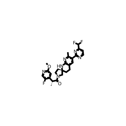 COc1cc([C@@H](C)C(=O)N2CC[C@@]3(CCc4cc(-c5nccc(C(F)F)n5)c(C)nc4N3)C2)c(F)cn1